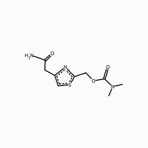 CN(C)C(=O)OCc1nc(CC(N)=O)cs1